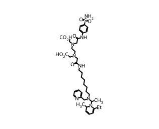 CCC1=CC=CC(C)N1C(C)N(CCCCCCCCNC(=O)CN(CCN(CC(=O)O)CC(=O)Nc1ccc(S(N)(=O)=O)cc1)CC(=O)O)Cc1ccccn1